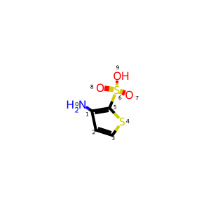 Nc1ccsc1S(=O)(=O)O